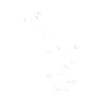 CN(C)c1ccc2cc(-c3ccc(/C=C(\C#N)C(=O)NC[C@H]4OC(O)[C@H](O)[C@@H](O)[C@@H]4O)n3C)ccc2c1